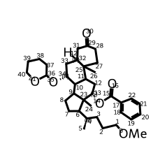 COCCC[C@@H](C)C1CCC2C3C(C[C@H](OC(=O)c4ccccc4)C21C)C1(C)CCC(=O)C[C@H]1C[C@H]3OC1CCCCO1